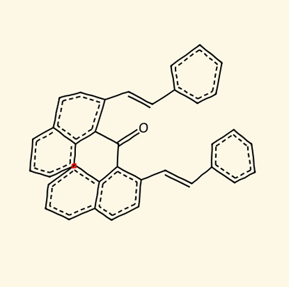 O=C(c1c(C=Cc2ccccc2)ccc2ccccc12)c1c(C=Cc2ccccc2)ccc2ccccc12